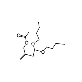 C=C(COC(C)=O)CC(OCCCC)OCCCC